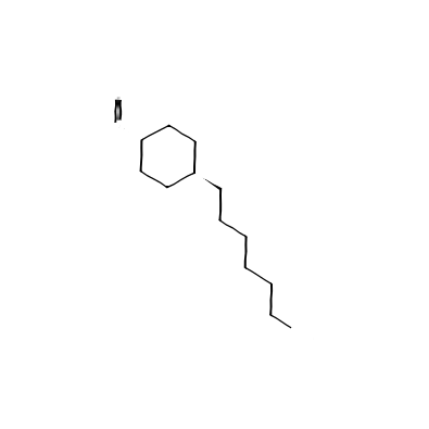 CCCCCCC[C@H]1CC[C@H](C=O)CC1